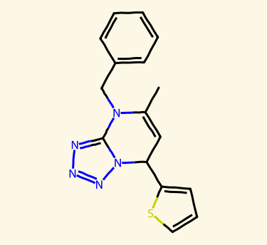 CC1=CC(c2cccs2)n2nnnc2N1Cc1ccccc1